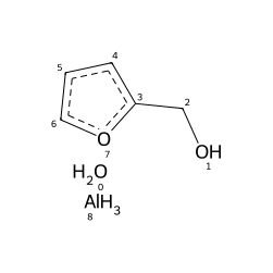 O.OCc1ccco1.[AlH3]